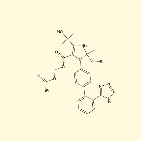 CCSC1(C)NC(C(C)(C)O)=C(C(=O)OCOC(=O)C(C)(C)C)N1c1ccc(-c2ccccc2-c2nnn[nH]2)cc1